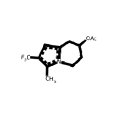 CC(=O)OC1CCn2c(cc(C(F)(F)F)c2C)C1